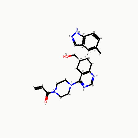 C=CC(=O)N1CCN(c2ncnc3c2C[C@@H](CO)[C@H](c2c(C)ccc4[nH]ncc24)C3)CC1